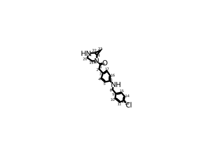 O=C(Cc1ccc(NCc2ccc(Cl)cc2)cc1)N1CCNC2CC21